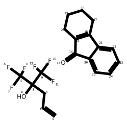 C=CCC(O)(C(F)(F)F)C(F)(F)F.O=C1C2=C(CCCC2)c2ccccc21